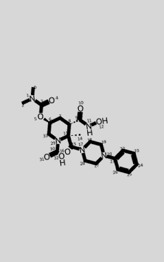 CN(C)C(=O)O[C@H]1C[C@H](C(=O)NO)[C@@](C)(C(=O)N2CCN(c3ccccc3)CC2)N(C(=O)O)C1